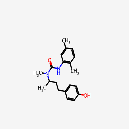 Cc1ccc(C)c(NC(=O)N(C)C(C)CCc2ccc(O)cc2)c1